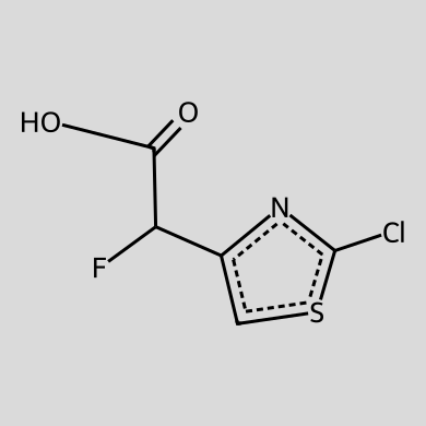 O=C(O)C(F)c1csc(Cl)n1